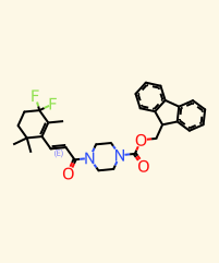 CC1=C(/C=C/C(=O)N2CCN(C(=O)OCC3c4ccccc4-c4ccccc43)CC2)C(C)(C)CCC1(F)F